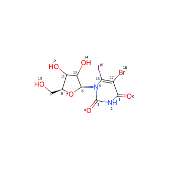 O=c1[nH]c(=O)n([C@H]2O[C@@H](CO)C(O)C2O)c(I)c1Br